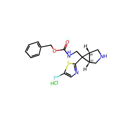 Cl.O=C(NCC1(c2ncc(F)s2)[C@@H]2CNC[C@@H]21)OCc1ccccc1